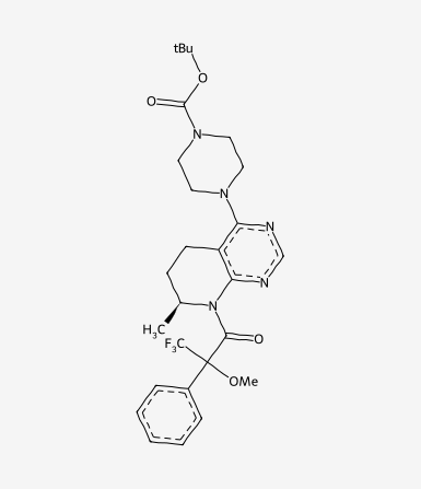 COC(C(=O)N1c2ncnc(N3CCN(C(=O)OC(C)(C)C)CC3)c2CC[C@@H]1C)(c1ccccc1)C(F)(F)F